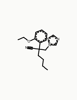 CCCCC(C#N)(Cn1cncn1)c1ccccc1OCC